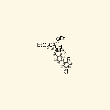 CCOCCC(C)(C[C@H](N)Cc1ccc(-c2cc(Cl)ccc2F)cc1)C(=O)OCC